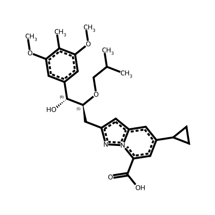 COc1cc([C@@H](O)[C@H](Cc2cc3cc(C4CC4)cc(C(=O)O)n3n2)OCC(C)C)cc(OC)c1C